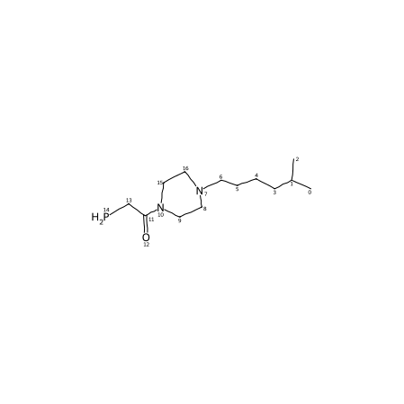 CC(C)CCCCN1CCN(C(=O)CP)CC1